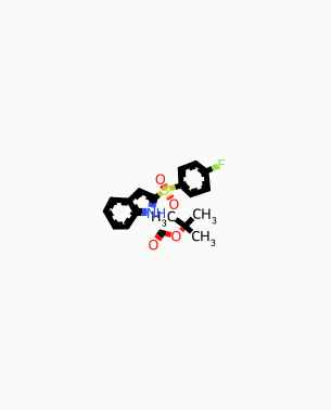 CC(C)(C)OC=O.O=S(=O)(c1ccc(F)cc1)c1cc2ccccc2[nH]1